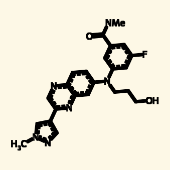 CNC(=O)c1cc(F)cc(N(CCCO)c2ccc3ncc(-c4cnn(C)c4)nc3c2)c1